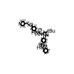 CC(C)(C)c1cc(NC(=O)Nc2ccc(OCCc3ccncc3)cc2)n(-c2ccc(S(=O)(=O)Nc3ccccc3)cc2)n1